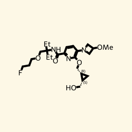 CCC(CC)(COCCCF)NC(=O)c1ccc(N2CC(OC)C2)c(OC[C@@H]2C[C@@H]2CO)n1